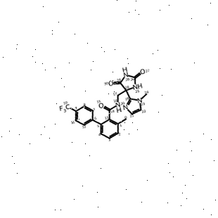 Cc1cccc(-c2ccc(C(F)(F)F)cc2)c1C(=O)NCC1(c2nccn2C)NC(=O)NC1=O